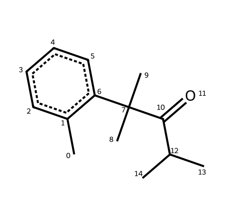 Cc1ccccc1C(C)(C)C(=O)C(C)C